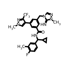 Cc1cc(C(NC(=O)c2cc(Cn3cnn(C)c3=N)cc(-c3cn(C)nc3C(F)(F)F)c2)C2CC2)ccc1F